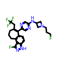 FCCCN1CC(Nc2cnc(C3=C(CC(F)(F)F)CCCc4c3ccc3[nH]nc(F)c43)cn2)C1